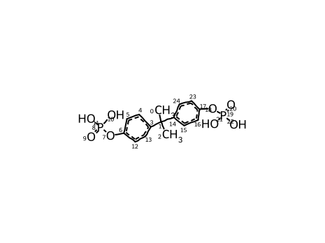 CC(C)(c1ccc(OP(=O)(O)O)cc1)c1ccc(OP(=O)(O)O)cc1